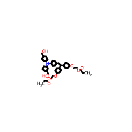 C=CC(=O)OCCOc1ccc(C(=Cc2ccc(N(c3ccc(CO)cc3)c3cccc(CO)c3)cc2)c2ccc(OCCOC(=O)C=C)cc2)cc1